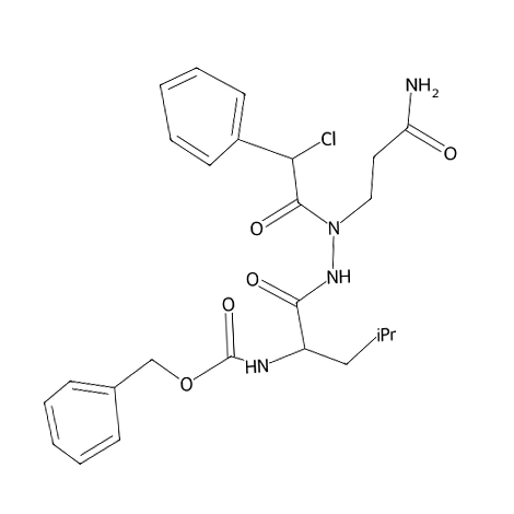 CC(C)CC(NC(=O)OCc1ccccc1)C(=O)NN(CCC(N)=O)C(=O)C(Cl)c1ccccc1